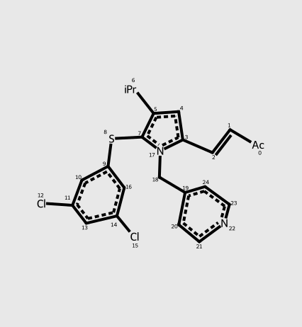 CC(=O)/C=C/c1cc(C(C)C)c(Sc2cc(Cl)cc(Cl)c2)n1Cc1ccncc1